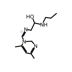 CCCNC(O)C/N=C\N1CN=C(C)C=C1C